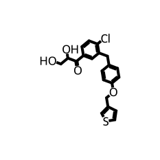 O=C(c1ccc(Cl)c(Cc2ccc(OCc3ccsc3)cc2)c1)C(O)CO